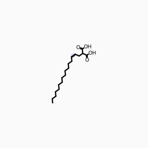 CCCCCCCCCCCCC/C=C\CC(C(=O)O)C(=O)O